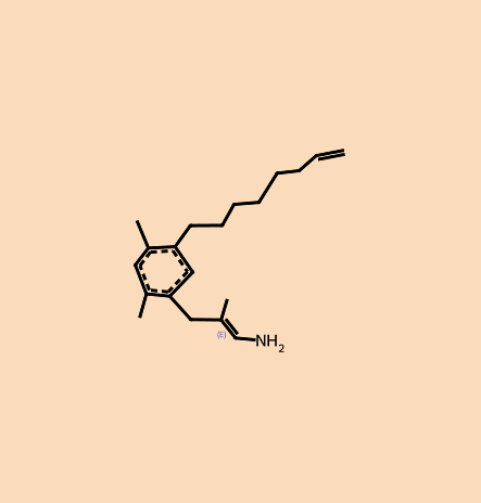 C=CCCCCCCc1cc(C/C(C)=C/N)c(C)cc1C